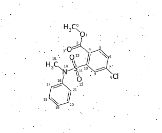 COC(=O)c1ccc(Cl)cc1S(=O)(=O)N(C)c1ccccc1